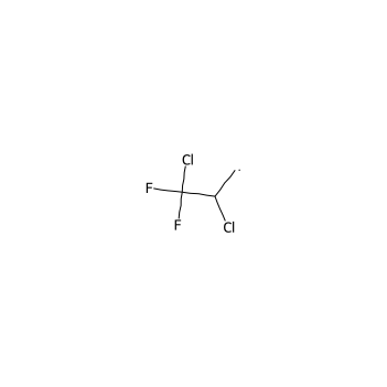 [CH2]C(Cl)C(F)(F)Cl